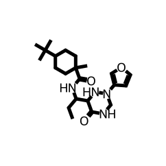 CCC(NC(=O)C1(C)CCC(C(C)(C)C)CC1)C1NN(c2ccoc2)CNC1=O